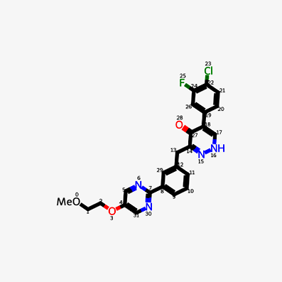 COCCOc1cnc(-c2cccc(Cc3n[nH]cc(-c4ccc(Cl)c(F)c4)c3=O)c2)nc1